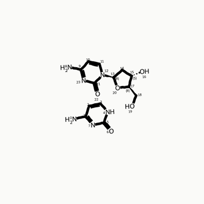 Nc1cc[nH]c(=O)n1.Nc1ccn([C@H]2C[C@H](O)[C@@H](CO)O2)c(=O)n1